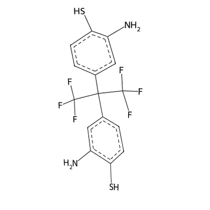 Nc1cc(C(c2ccc(S)c(N)c2)(C(F)(F)F)C(F)(F)F)ccc1S